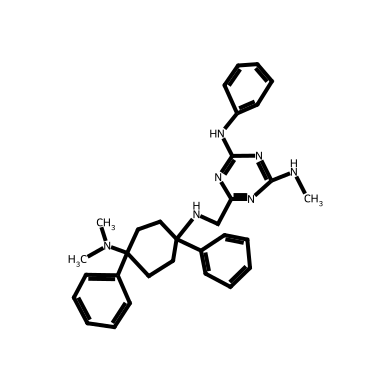 CNc1nc(CNC2(c3ccccc3)CCC(c3ccccc3)(N(C)C)CC2)nc(Nc2ccccc2)n1